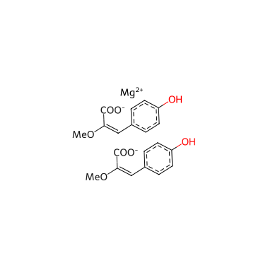 COC(=Cc1ccc(O)cc1)C(=O)[O-].COC(=Cc1ccc(O)cc1)C(=O)[O-].[Mg+2]